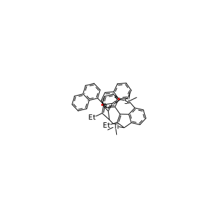 CCC1=C(c2cccc3ccccc23)c2c3cccc2[Si](C)(C)c2cccc4c2C(c2cccc5ccccc25)=C(CC)[CH]4[Ti]([CH3])([CH3])[CH]13